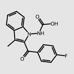 Cc1c(C(=O)c2ccc(F)cc2)n(NC(=O)O)c2ccccc12